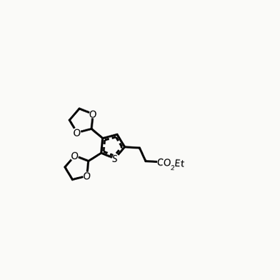 CCOC(=O)CCc1cc(C2OCCO2)c(C2OCCO2)s1